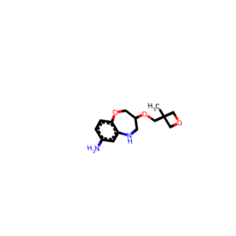 CC1(COC2CNc3cc(N)ccc3OC2)COC1